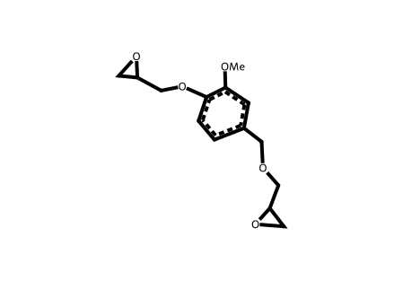 COc1cc(COCC2CO2)ccc1OCC1CO1